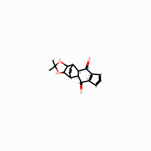 CC1(C)OC2C3C=CC(C2O1)C1C(=O)C2=C(C=C=C2)C(=O)C31